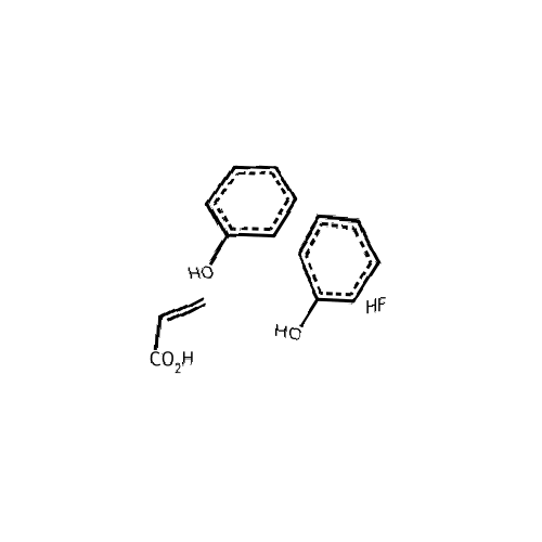 C=CC(=O)O.F.Oc1ccccc1.Oc1ccccc1